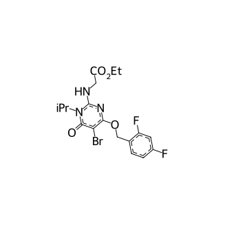 CCOC(=O)CNc1nc(OCc2ccc(F)cc2F)c(Br)c(=O)n1C(C)C